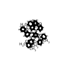 Cc1cc2c(cc1N1c3cc(N4c5ccccc5C5(C)CCCCC45C)cc4c3B(c3cc5c(cc3N4c3cccc4oc6ccccc6c34)C(C)(C)CCC5(C)C)c3c1ccc1c3oc3ccccc31)C(C)(C)CCC2(C)C